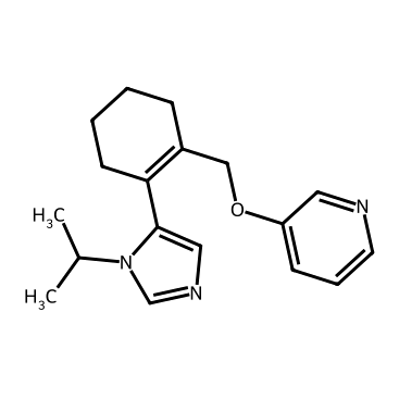 CC(C)n1cncc1C1=C(COc2cccnc2)CCCC1